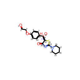 O.O=CCOc1ccc(/C=C2/SC(N3CCCCC3)=NC2=O)cc1